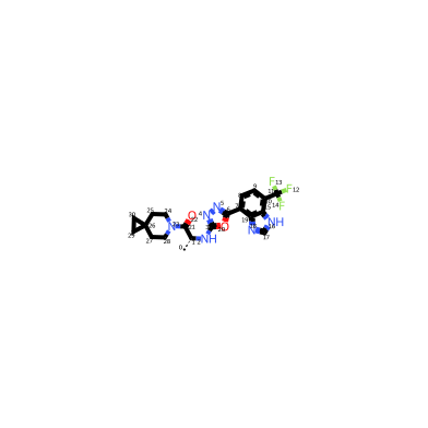 C[C@@H](Nc1nnc(-c2ccc(C(F)(F)F)c3[nH]cnc23)o1)C(=O)N1CCC2(CC1)CC2